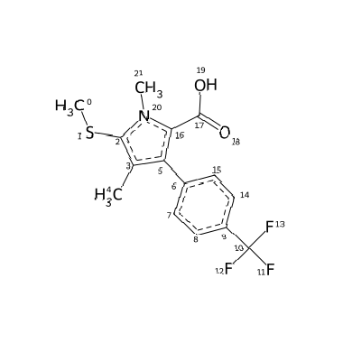 CSc1c(C)c(-c2ccc(C(F)(F)F)cc2)c(C(=O)O)n1C